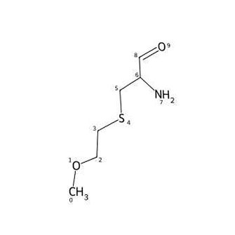 COCCSCC(N)C=O